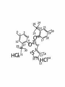 Cc1ccc([O][Ti](=[CH]c2scc(C)c2C)[O]c2ccc(C)cc2C(C)(C)C)c(C(C)(C)C)c1.Cl.Cl